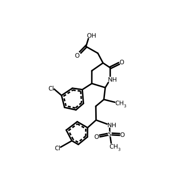 CC(CC(NS(C)(=O)=O)c1ccc(Cl)cc1)C1NC(=O)C(CC(=O)O)CC1c1cccc(Cl)c1